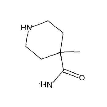 CC1(C([NH])=O)CCNCC1